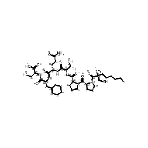 CCCCCC[C@](N)(CS)C(=O)N1CCC[C@H]1C(=O)N1CCC[C@H]1C(=O)N[C@H](C(=O)N[C@@H](CCC(N)=O)C(=O)N[C@@H](CC1CCCCC1)C(=O)N[C@@H](CS)C(=O)O)[C@@H](C)O